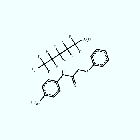 O=C(CSc1ccccc1)Nc1ccc(C(=O)O)cc1.O=C(O)C(F)(F)C(F)(F)C(F)(F)C(F)(F)C(F)(F)C(F)(F)F